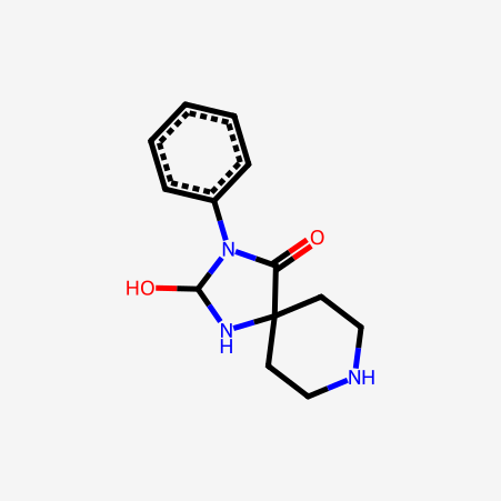 O=C1N(c2ccccc2)C(O)NC12CCNCC2